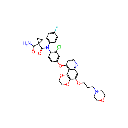 NC(=O)C1(C(=O)N(c2ccc(F)cc2)c2ccc(Oc3ccnc4cc(OCCCN5CCOCC5)c5c(c34)OCCO5)cc2Cl)CC1